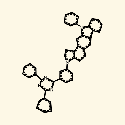 c1ccc(-c2nc(-c3ccccc3)nc(-c3cccc(-n4ccc5c6cc7c(cc6ccc54)c4ccccc4n7-c4ccccc4)c3)n2)cc1